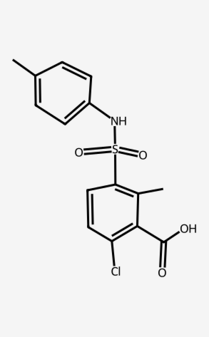 Cc1ccc(NS(=O)(=O)c2ccc(Cl)c(C(=O)O)c2C)cc1